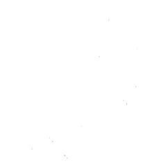 COc1c(-c2cnn(CCO)c2)cnc2ccc(Br)cc12